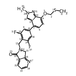 CSCOc1ccc(-c2cc(F)c(CN3Cc4ncccc4C3=O)c(F)c2)c2cn(C)nc12